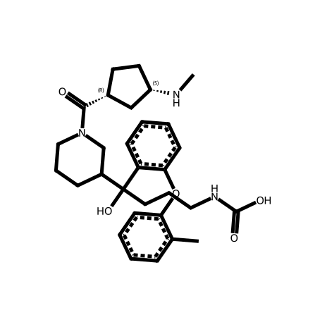 CN[C@H]1CC[C@@H](C(=O)N2CCCC(C(O)(CCCNC(=O)O)c3ccccc3Oc3ccccc3C)C2)C1